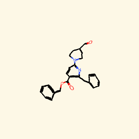 O=CC1CCN(c2ccc(C(=O)OCc3ccccc3)c(Cc3ccccc3)n2)CC1